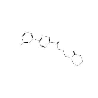 Cc1cccc(-c2ccc(C(=O)NCCN3CCCCC3=O)cn2)c1